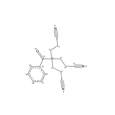 N#CCCC(CCC#N)(CCC#N)C(=O)c1ccccc1